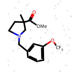 COC(=O)C1(C)CCN(Cc2cccc(OC(F)(F)F)c2)C1